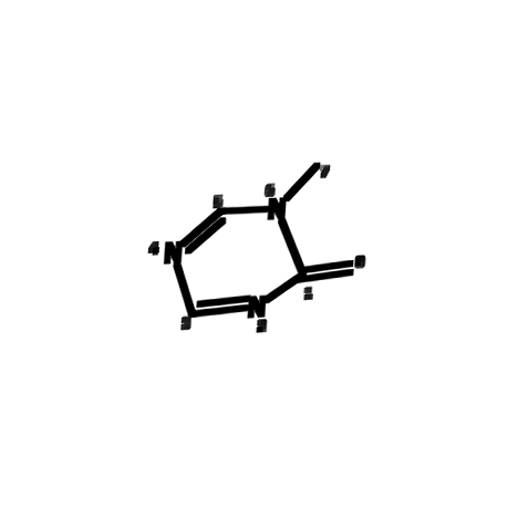 C=C1N=CN=CN1C